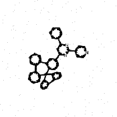 c1ccc(-c2cc(-c3ccc4c(c3)-c3ccccc3-c3ccccc3C43c4ccccc4-c4ccccc43)nc(-c3ccncc3)n2)cc1